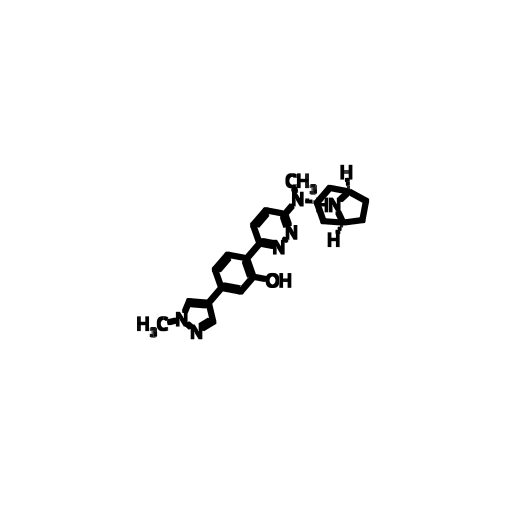 CN(c1ccc(-c2ccc(-c3cnn(C)c3)cc2O)nn1)[C@@H]1C[C@H]2CC[C@@H](C1)N2